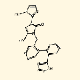 CCCc1cn(-c2nccn2CCC)c(=O)n1Cc1cnccc1-c1ccccc1-c1nnn[nH]1